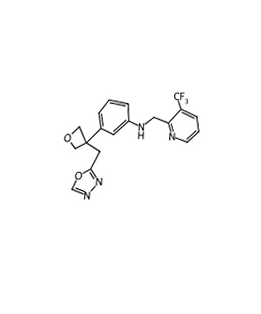 FC(F)(F)c1cccnc1CNc1cccc(C2(Cc3nnco3)COC2)c1